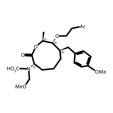 COCN(C(=O)O)[C@H]1CCC[C@H](Cc2ccc(OC)cc2)[C@@H](OCCC(C)=O)[C@H](C)OC1=O